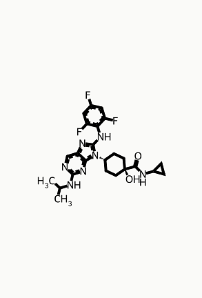 CC(C)Nc1ncc2nc(Nc3c(F)cc(F)cc3F)n([C@H]3CC[C@@](O)(C(=O)NC4CC4)CC3)c2n1